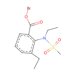 CCc1cccc(C(=O)OBr)c1N(CC)S(C)(=O)=O